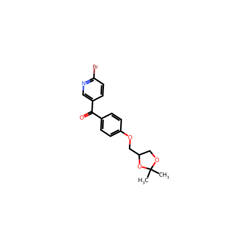 CC1(C)OCC(COc2ccc(C(=O)c3ccc(Br)nc3)cc2)O1